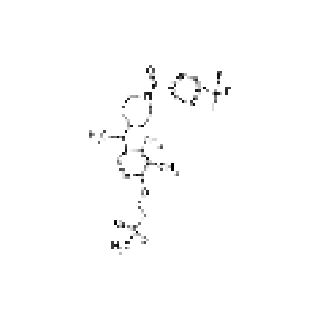 Cc1c(OCCS(C)(=O)=O)ccc(C(C)N2CCN(C(=O)c3ccc(C(F)(F)F)cc3)CC2)c1C